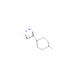 CC1CCC(c2c[nH]nn2)CC1